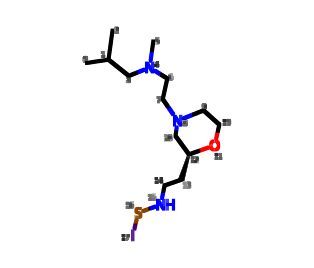 CC(C)CN(C)CCN1CCO[C@@H](CCNSI)C1